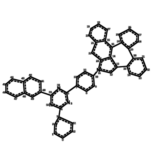 c1ccc(-c2nc(-c3ccc(-n4cc5c6c(c7ccccc7cc64)-c4ccccc4-c4ccccc4-5)cc3)nc(-c3ccc4ccccc4c3)n2)cc1